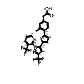 Cc1cc(CC(=O)O)ccc1-c1ccc(-c2cc(C(F)(F)F)nn2-c2ncccc2C(F)(F)F)s1